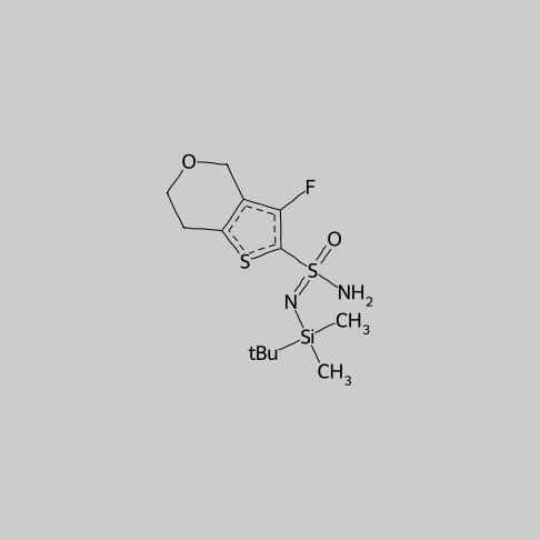 CC(C)(C)[Si](C)(C)N=S(N)(=O)c1sc2c(c1F)COCC2